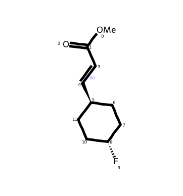 COC(=O)/C=C/[C@H]1CC[C@H](F)CC1